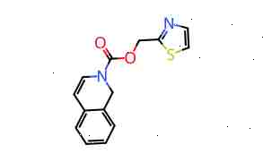 O=C(OCc1nccs1)N1C=Cc2ccccc2C1